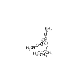 COCCOCCOC(=O)C1CCC(CCCC(C)CCCC(C)C)CC1C(=O)OCCOCCOC